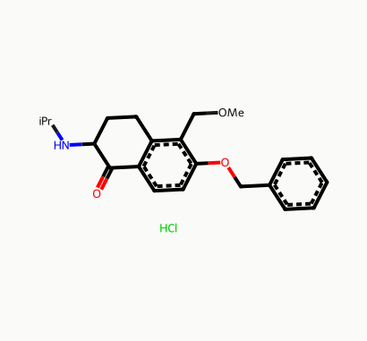 COCc1c(OCc2ccccc2)ccc2c1CCC(NC(C)C)C2=O.Cl